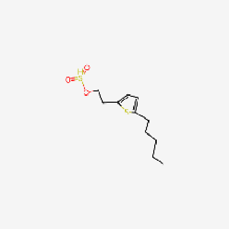 CCCCCc1ccc(CCO[SH](=O)=O)s1